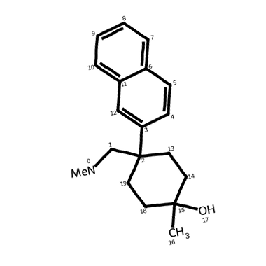 CNCC1(c2ccc3ccccc3c2)CCC(C)(O)CC1